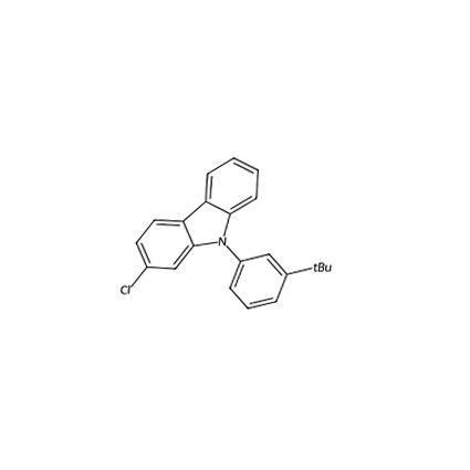 CC(C)(C)c1cccc(-n2c3ccccc3c3ccc(Cl)cc32)c1